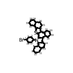 Brc1ccc(-n2c3c4ccccc4ccc3c3c4ccccc4c4c5ccc6ccccc6c5sc4c32)cc1